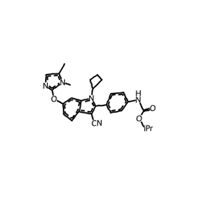 Cc1cnc(Oc2ccc3c(C#N)c(-c4ccc(NC(=O)OC(C)C)cc4)n(C4CCC4)c3c2)n1C